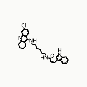 O=C(/C=C\c1c[nH]c2ccccc12)NCCCCCCNc1c2c(nc3cc(Cl)ccc13)CCCC2